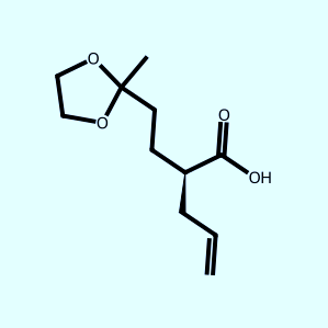 C=CC[C@@H](CCC1(C)OCCO1)C(=O)O